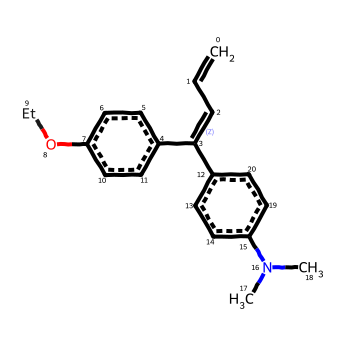 C=C/C=C(\c1ccc(OCC)cc1)c1ccc(N(C)C)cc1